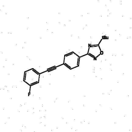 CC(C)(C)c1nc(-c2ccc(C#Cc3cccc(F)c3)cc2)no1